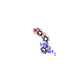 CCCOc1ccc(Oc2ccc(CNC(=O)c3cccnc3N)cc2)cc1